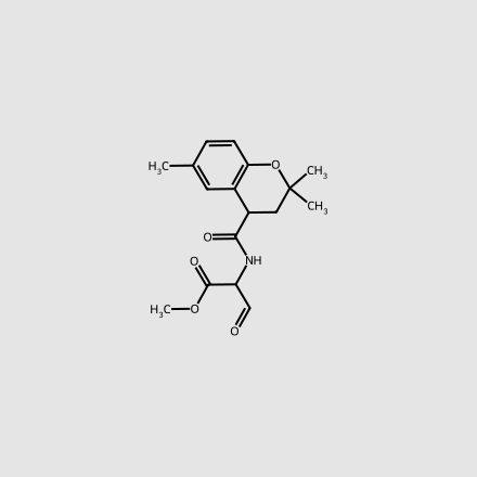 COC(=O)C(C=O)NC(=O)C1CC(C)(C)Oc2ccc(C)cc21